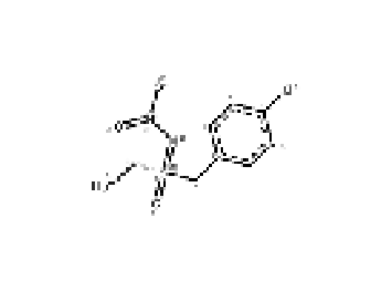 CC[S@@](=O)(Cc1ccc(Cl)nc1)=N[N+](=O)[O-]